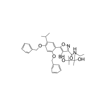 CCNC(=O)c1noc(-c2cc(C(C)C)c(OCc3ccccc3)cc2OCc2ccccc2)c1BOC(C)(C)C(C)(C)O